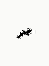 CCOC(=O)CCn1cc(-c2cc3c(cc2OC)-c2cc(=O)c(C(=O)O)cn2C(C(C)(C)C)C3)cn1